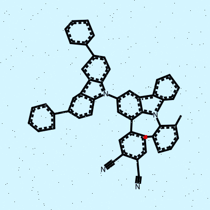 Cc1cccc(C)c1-n1c2ccccc2c2cc(-n3c4ccc(-c5ccccc5)cc4c4cc(-c5ccccc5)ccc43)cc(-c3ccc(C#N)c(C#N)c3)c21